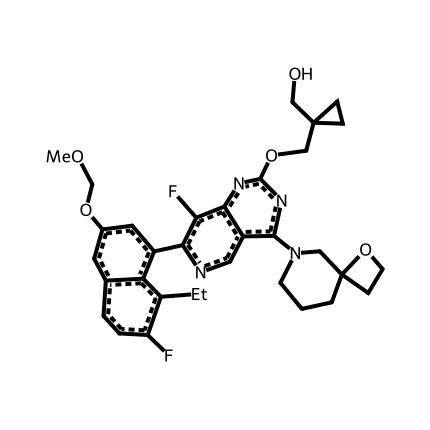 CCc1c(F)ccc2cc(OCOC)cc(-c3ncc4c(N5CCCC6(CCO6)C5)nc(OCC5(CO)CC5)nc4c3F)c12